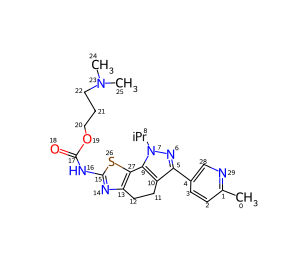 Cc1ccc(-c2nn(C(C)C)c3c2CCc2nc(NC(=O)OCCCN(C)C)sc2-3)cn1